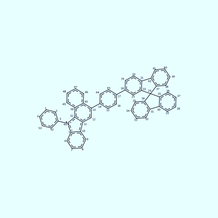 c1ccc(-n2c3ccccc3c3cc(-c4ccc(-c5ccc6c(c5)C5(c7ccccc7-c7ccccc75)c5ccccc5-6)cc4)c4ccccc4c32)cc1